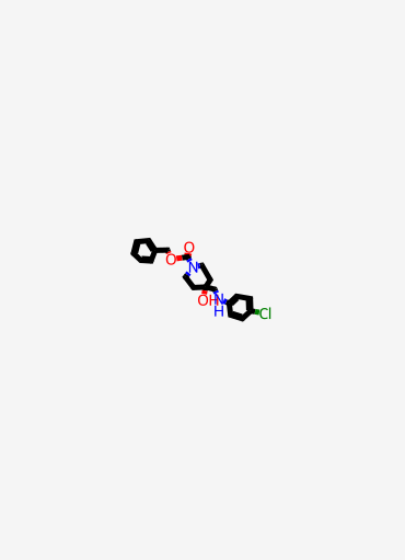 O=C(OCc1ccccc1)N1CCC(O)(CNc2ccc(Cl)cc2)CC1